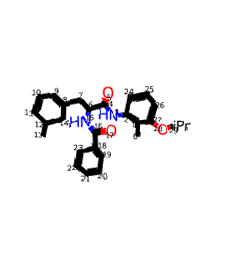 Cc1c(NC(=O)C(CC2=CC=CC(C)C2)NC(=O)c2ccccc2)cccc1OC(C)C